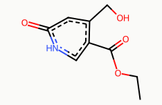 CCOC(=O)c1c[nH]c(=O)cc1CO